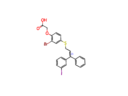 O=C(O)COc1ccc(SC/C=C(/c2ccccc2)c2cccc(I)c2)cc1Br